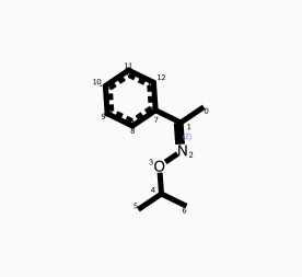 C/C(=N/OC(C)C)c1cc[c]cc1